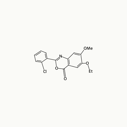 CCOc1cc2c(=O)oc(-c3ccccc3Cl)nc2cc1OC